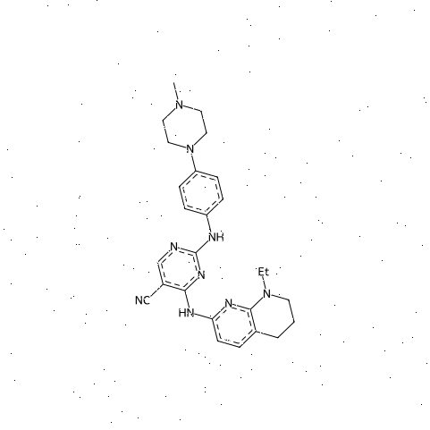 CCN1CCCc2ccc(Nc3nc(Nc4ccc(N5CCN(C)CC5)cc4)ncc3C#N)nc21